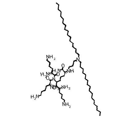 CCCCCCCCCCCCCCCCCCN(CCCCCCCCCCCCCCCCCC)CCCN[C@@H](CCCC(C(=O)[C@@H](N)CCCCN)N(C(=O)[C@@H](N)CCCCN)C(=O)[C@@H](N)CCCCN)C(N)=O